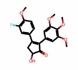 COc1ccc(C2=C(c3cc(OC)c(OC)c(OC)c3)C(=O)C(O)C2)cc1F